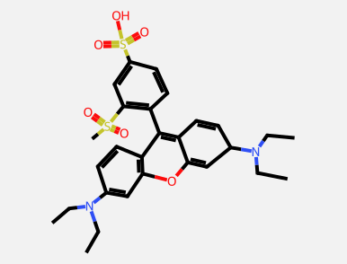 CCN(CC)c1ccc2c(c1)OC1=CC(N(CC)CC)C=CC1=C2c1ccc(S(=O)(=O)O)cc1S(C)(=O)=O